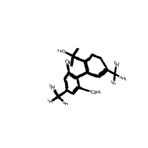 [2H]C([2H])([2H])C1=CC(c2c(O)cc(C([2H])([2H])[2H])cc2O)C(C(C)(C)O)CC1